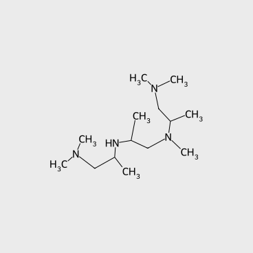 CC(CN(C)C)NC(C)CN(C)C(C)CN(C)C